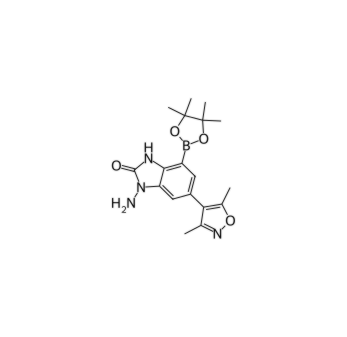 Cc1noc(C)c1-c1cc(B2OC(C)(C)C(C)(C)O2)c2[nH]c(=O)n(N)c2c1